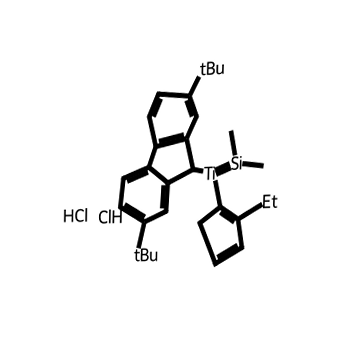 CCC1=[C]([Ti]([CH]2c3cc(C(C)(C)C)ccc3-c3ccc(C(C)(C)C)cc32)=[Si](C)C)CC=C1.Cl.Cl